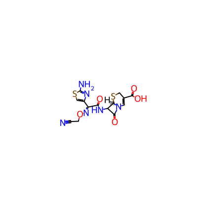 N#CCON=C(C(=O)NC1C(=O)N2C=C(C(=O)O)CS[C@H]12)c1csc(N)n1